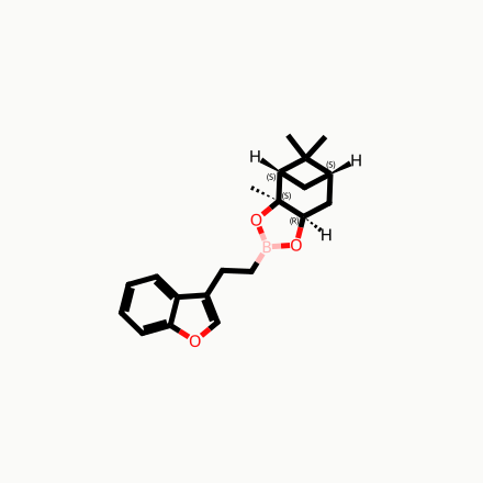 CC1(C)[C@@H]2C[C@H]3OB(CCc4coc5ccccc45)O[C@@]3(C)[C@H]1C2